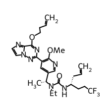 C=CCCOc1nc(-c2cc([C@@H](C)N(CC)C(=O)N[C@H](CC=C)CCC(F)(F)F)cnc2OC)nn2ccnc12